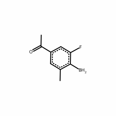 Bc1c(C)cc(C(C)=O)cc1F